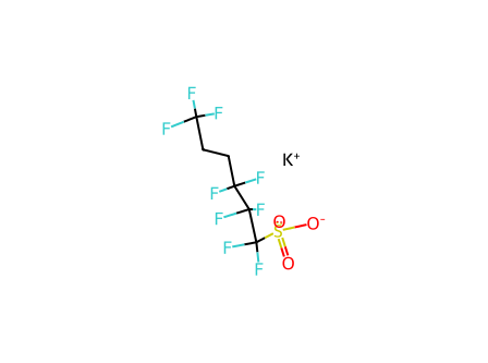 O=S(=O)([O-])C(F)(F)C(F)(F)C(F)(F)CCC(F)(F)F.[K+]